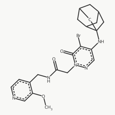 COc1cnccc1CNC(=O)Cn1ncc(NC23CC4CC(CC2C4)C3)c(Br)c1=O